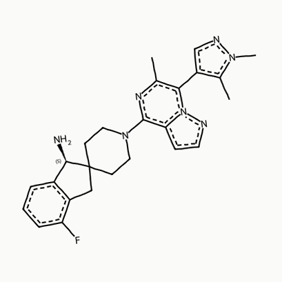 Cc1nc(N2CCC3(CC2)Cc2c(F)cccc2[C@H]3N)c2ccnn2c1-c1cnn(C)c1C